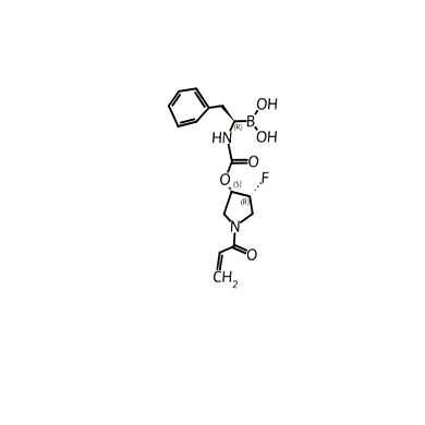 C=CC(=O)N1C[C@@H](F)[C@@H](OC(=O)N[C@@H](Cc2ccccc2)B(O)O)C1